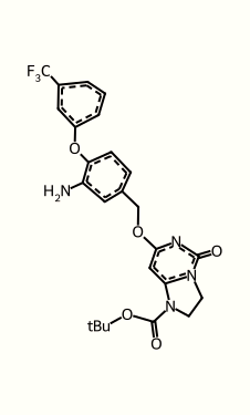 CC(C)(C)OC(=O)N1CCn2c1cc(OCc1ccc(Oc3cccc(C(F)(F)F)c3)c(N)c1)nc2=O